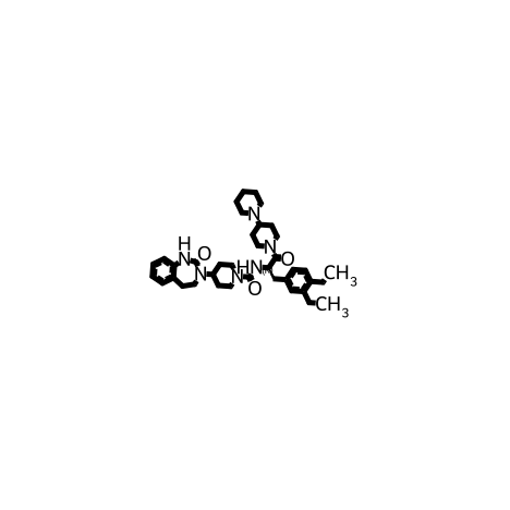 CCc1ccc(C[C@@H](NC(=O)N2CCC(N3CCc4ccccc4NC3=O)CC2)C(=O)N2CCC(N3CCCCC3)CC2)cc1CC